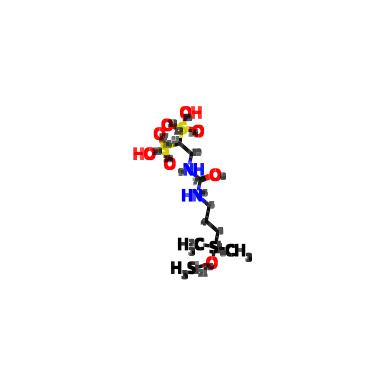 C[Si](C)(CCCNC(=O)NCC(S(=O)(=O)O)S(=O)(=O)O)O[SiH3]